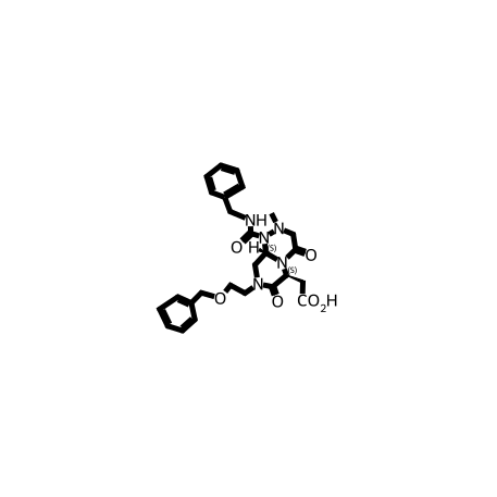 CN1CC(=O)N2[C@@H](CC(=O)O)C(=O)N(CCOCc3ccccc3)C[C@@H]2N1C(=O)NCc1ccccc1